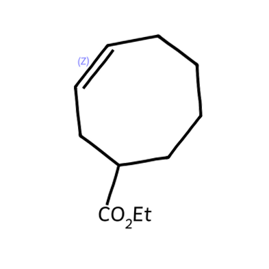 CCOC(=O)C1C/C=C\CCCC1